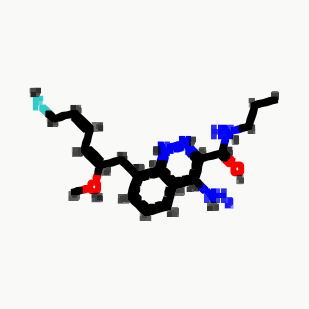 CCCNC(=O)c1nnc2c(C/C(=C\C=C/CF)OC)cccc2c1N